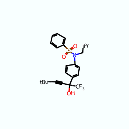 CC(C)CN(c1ccc(C(O)(C#CC(C)(C)C)C(F)(F)F)cc1)S(=O)(=O)c1ccccc1